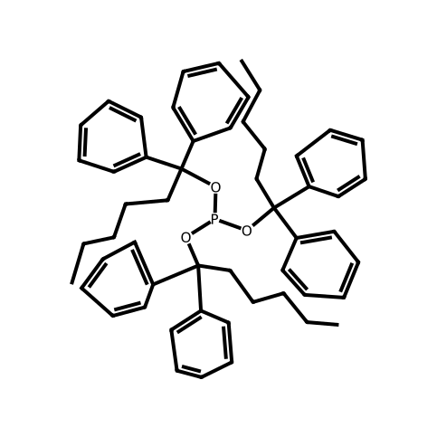 CCCCCC(OP(OC(CCCCC)(c1ccccc1)c1ccccc1)OC(CCCCC)(c1ccccc1)c1ccccc1)(c1ccccc1)c1ccccc1